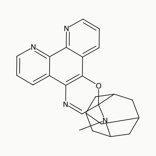 CN1C2CC3CC(C2)CC(C3)C12C=Nc1c(c3cccnc3c3ncccc13)O2